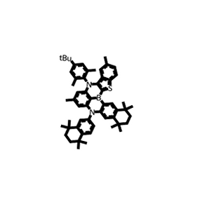 Cc1cc2c3c(c1)N(c1c(C)cc(C(C)(C)C)cc1C)c1c(sc4ccc(C)cc14)B3c1cc3c(cc1N2c1ccc2c(c1)C(C)(C)CCC2(C)C)C(C)(C)CCC3(C)C